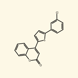 O=c1cc(-c2ccc(-c3cccc(Cl)c3)s2)c2ccccc2o1